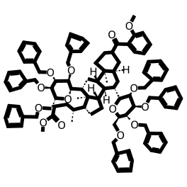 COC(=O)CC[C@@H](C)[C@H]1CC[C@H]2[C@@H]3[C@@H](C4O[C@H](COCc5ccccc5)[C@@H](OCc5ccccc5)[C@H](OCc5ccccc5)[C@H]4OCc4ccccc4)C[C@@H]4CC(C(=O)c5ccccc5OC)CC[C@]4(C)[C@H]3C[C@@H]([C@@H]3O[C@H](COCc4ccccc4)[C@@H](OCc4ccccc4)[C@H](OCc4ccccc4)[C@H]3OCc3ccccc3)[C@]12C